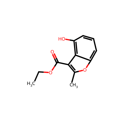 CCOC(=O)c1c(C)oc2cccc(O)c12